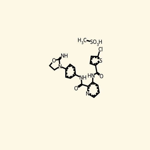 CS(=O)(=O)O.N=C1OCCN1c1ccc(NC(=O)c2ncccc2NC(=O)c2ccc(Cl)s2)cc1